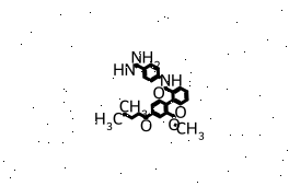 COC(=O)c1cc(C(=O)CCC(C)C)ccc1-c1ccccc1C(=O)Nc1ccc(C(=N)N)cc1